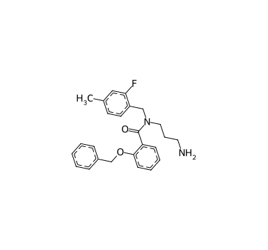 Cc1ccc(CN(CCCN)C(=O)c2ccccc2OCc2ccccc2)c(F)c1